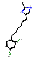 CCc1nc(C=CCCCCc2ccc(Cl)cc2Cl)c[nH]1